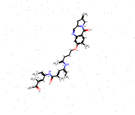 C=C1CC2C=Nc3cc(OCCCC(=C)NC(=C/C)/C=C(\C)C(=O)NC(=C/C)/C=C(\C)C(=O)CCC)c(C)cc3C(=O)N2C1